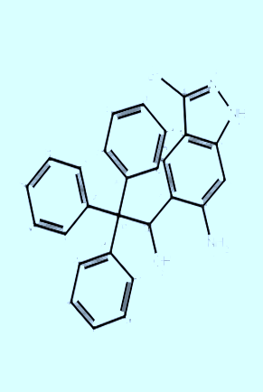 Nc1cc2[nH]nc(Br)c2cc1C(O)C(c1ccccc1)(c1ccccc1)c1ccccc1